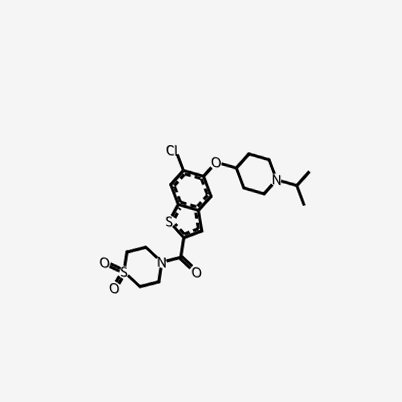 CC(C)N1CCC(Oc2cc3cc(C(=O)N4CCS(=O)(=O)CC4)sc3cc2Cl)CC1